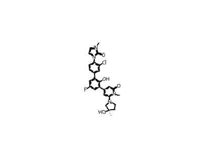 Cn1ccn(-c2ccc(-c3cc(F)cc(-c4cc(N5CC[C@@](C)(O)C5)n(C)c(=O)c4)c3O)cc2Cl)c1=O